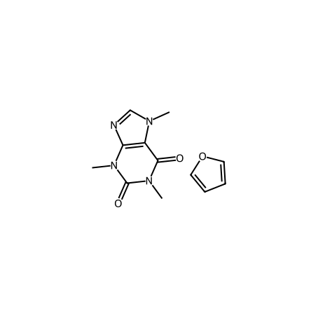 Cn1c(=O)c2c(ncn2C)n(C)c1=O.c1ccoc1